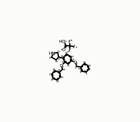 O=C(O)C(F)(F)F.c1ccc(COc2ccc(C3CCNC3)c(OCc3ccccc3)c2)cc1